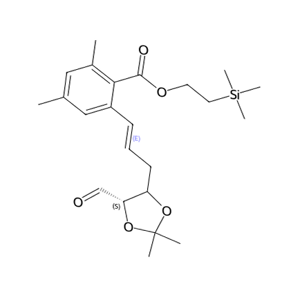 Cc1cc(C)c(C(=O)OCC[Si](C)(C)C)c(/C=C/CC2OC(C)(C)O[C@@H]2C=O)c1